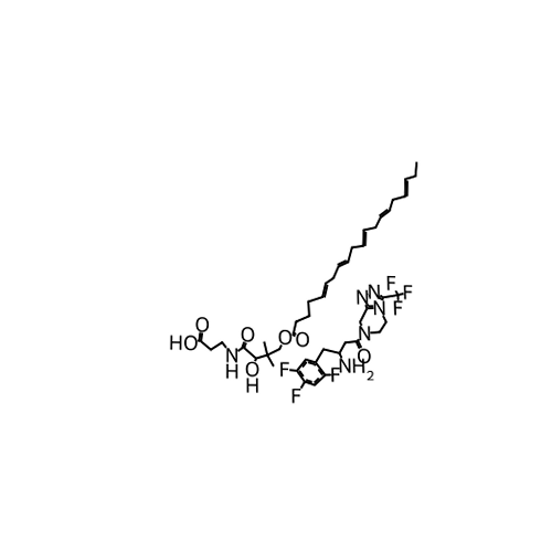 CCC=CCC=CCC=CCC=CCC=CCCCC(=O)OCC(C)(C)C(O)C(=O)NCCC(=O)O.NC(CC(=O)N1CCn2c(nnc2C(F)(F)F)C1)Cc1cc(F)c(F)cc1F